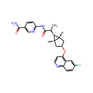 CC(C(=O)Nc1ccc(C(N)=O)cn1)[C@H]1[C@@H]2C[C@@H](Oc3ccnc4ccc(F)cc34)C[C@@H]21